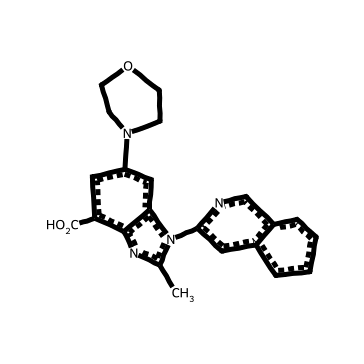 Cc1nc2c(C(=O)O)cc(N3CCOCC3)cc2n1-c1cc2ccccc2cn1